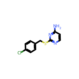 Nc1ccnc(SCc2ccc(Cl)cc2)n1